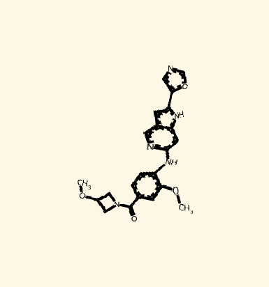 COc1cc(C(=O)N2CC(OC)C2)ccc1Nc1cc2[nH]c(-c3cnco3)cc2cn1